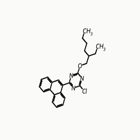 CCCCC(CC)COc1nc(Cl)nc(-c2cc3ccccc3c3ccccc23)n1